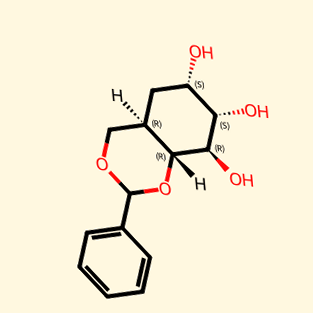 O[C@@H]1[C@@H](O)[C@@H](O)C[C@@H]2COC(c3ccccc3)O[C@H]21